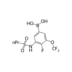 CCCS(=O)(=O)Nc1cc(B(O)O)cc(OC(F)(F)F)c1F